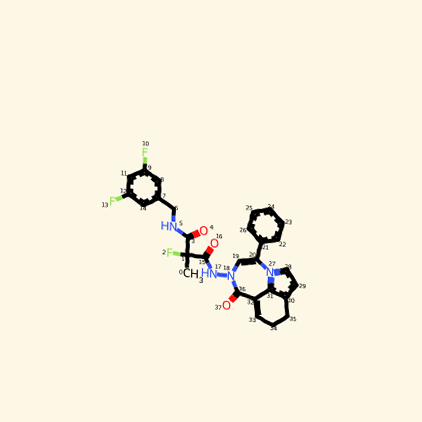 CC(F)(C(=O)NCc1cc(F)cc(F)c1)C(=O)NN1C=C(c2ccccc2)n2ccc3c2C(=CCC3)C1=O